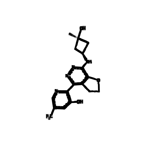 C[C@]1(O)C[C@@H](Nc2nnc(-c3ncc(C(F)(F)F)cc3O)c3c2OCC3)C1